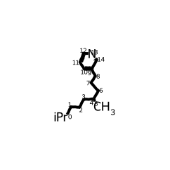 CC(C)CCCC(C)CCCc1cccnc1